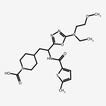 CCN(CCOC)c1nnc(C(CC2CCN(C(=O)O)CC2)NC(=O)c2ccc(C)s2)o1